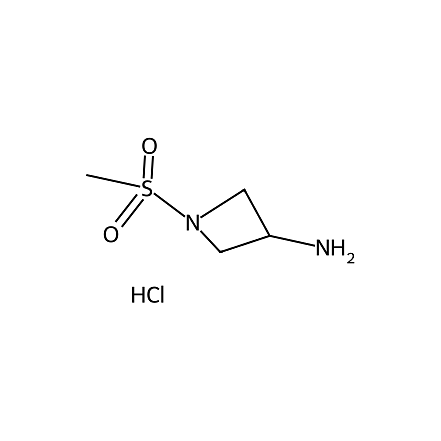 CS(=O)(=O)N1CC(N)C1.Cl